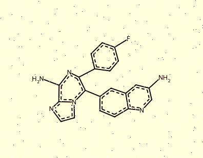 Nc1cnc2ccc(-c3c(-c4ccc(F)cc4)nc(N)c4nccn34)cc2c1